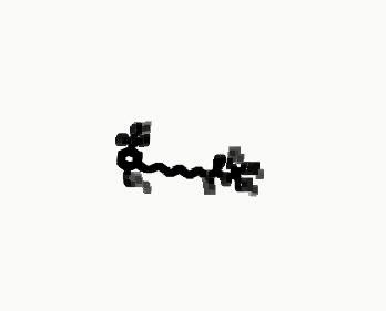 Cc1ccc(S(=O)(=O)O)cc1CCCCCCNC(=O)OC(C)(C)C